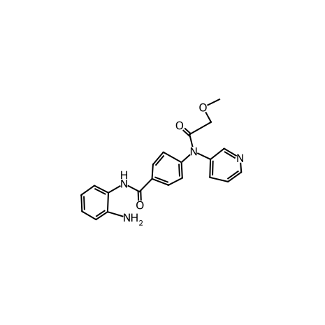 COCC(=O)N(c1ccc(C(=O)Nc2ccccc2N)cc1)c1cccnc1